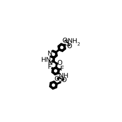 NS(=O)(=O)c1ccc(-c2cnc3[nH]nc(C(=O)c4c(F)ccc(NS(=O)(=O)Cc5ccccc5)c4F)c3c2)cc1